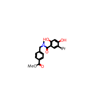 COC(=O)c1ccc(CN(C)C(=O)c2cc(C(C)C)c(O)cc2O)cc1